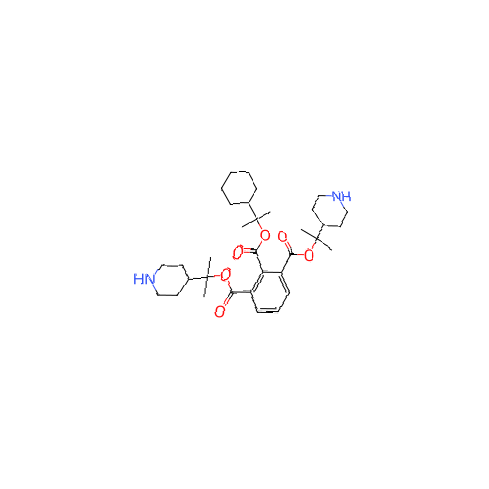 CC(C)(OC(=O)c1cccc(C(=O)OC(C)(C)C2CCNCC2)c1C(=O)OC(C)(C)C1CCCCC1)C1CCNCC1